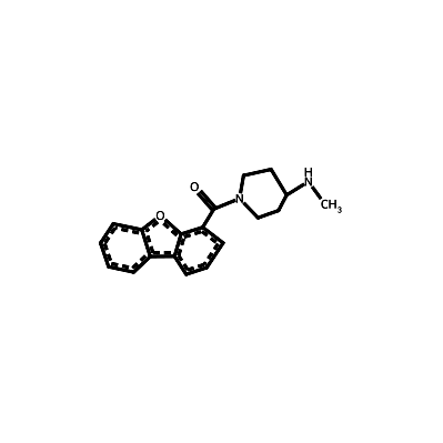 CNC1CCN(C(=O)c2cccc3c2oc2ccccc23)CC1